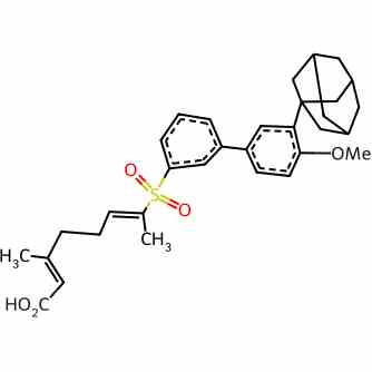 COc1ccc(-c2cccc(S(=O)(=O)C(C)=CCCC(C)=CC(=O)O)c2)cc1C12CC3CC(CC(C3)C1)C2